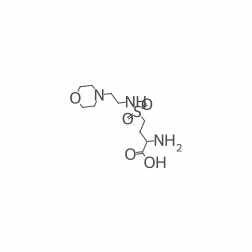 NC(CCS(=O)(=O)NCCN1CCOCC1)C(=O)O